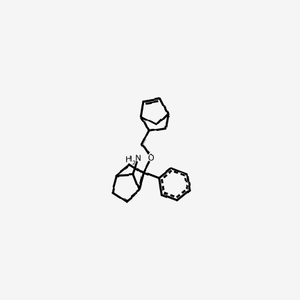 NC1C2CCC1C(OCC1CC3C=CC1C3)(c1ccccc1)C2